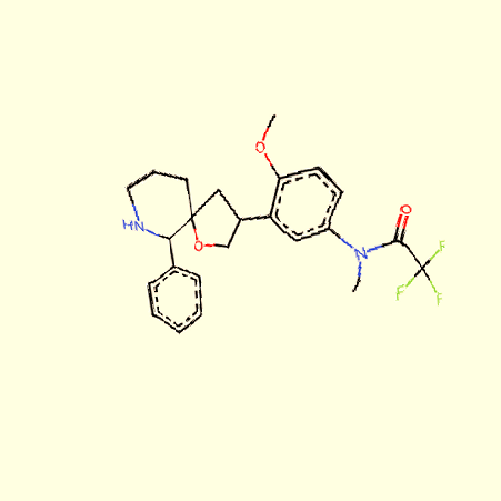 COc1ccc(N(C)C(=O)C(F)(F)F)cc1C1COC2(CCCNC2c2ccccc2)C1